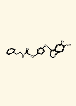 CCc1cc2c(Oc3ccc(OC(=O)NCCc4ccccc4)cc3)ccnc2cc1OC